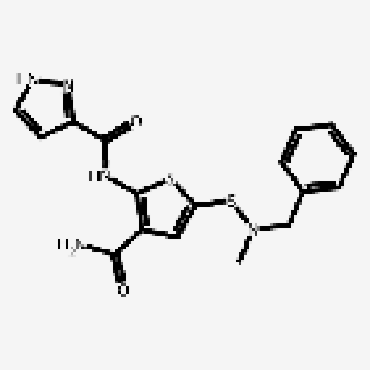 CN(Cc1ccccc1)Sc1cc(C(N)=O)c(NC(=O)c2cc[nH]n2)s1